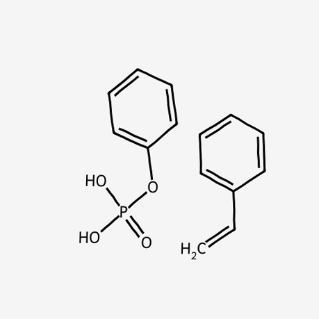 C=Cc1ccccc1.O=P(O)(O)Oc1ccccc1